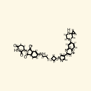 O=C1CCC(N2C(=O)c3ccc(NCCC[C@H]4C[C@H](n5cc(-c6cnc7ccc(N8CCNC9(CC9)C8)cc7n6)cn5)C4)cc3C2=O)C(=O)N1